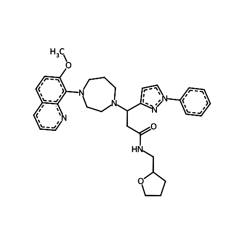 COc1ccc2cccnc2c1N1CCCN(C(CC(=O)NCC2CCCO2)c2ccn(-c3ccccc3)n2)CC1